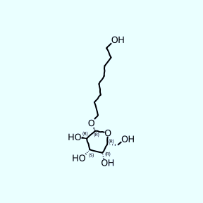 OCCCCCCCCO[C@@H]1O[C@H](CO)[C@H](O)[C@H](O)[C@H]1O